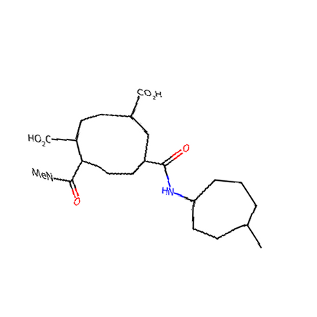 CNC(=O)C1CCC(C(=O)NC2CCCC(C)CC2)CC(C(=O)O)CCC1C(=O)O